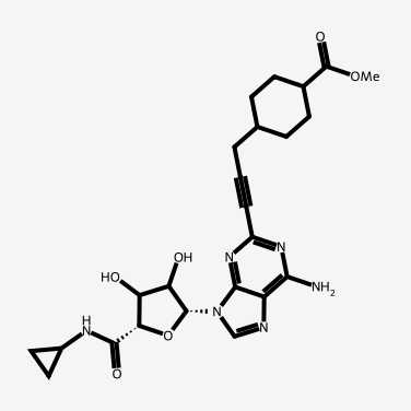 COC(=O)C1CCC(CC#Cc2nc(N)c3ncn([C@@H]4O[C@H](C(=O)NC5CC5)C(O)C4O)c3n2)CC1